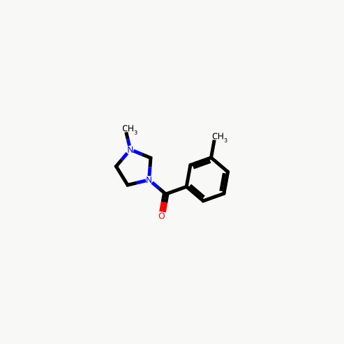 Cc1cccc(C(=O)N2CCN(C)C2)c1